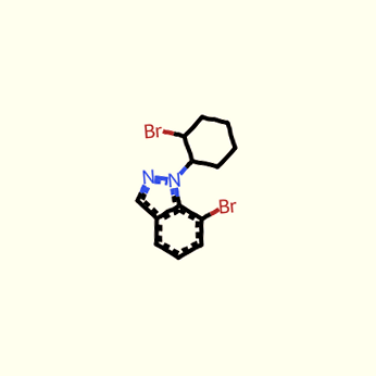 Brc1cccc2cnn(C3CCCCC3Br)c12